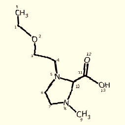 CCOCCN1CCN(C)C1C(=O)O